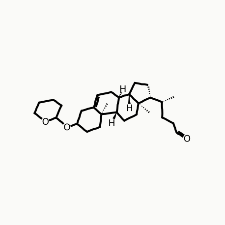 C[C@H](CCC=O)[C@H]1CC[C@H]2[C@@H]3CC=C4CC(OC5CCCCO5)CC[C@]4(C)[C@H]3CC[C@]12C